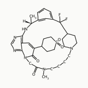 C[C@H]1Nc2ncnc3c2cc(C2CCS(=O)(=O)CC2)c(=O)n3CC(=O)N(C)CCCCN2CCC(CC2)C(F)(F)c2cccc1c2